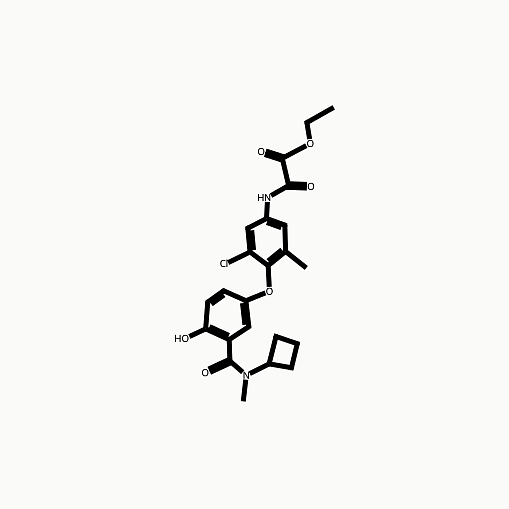 CCOC(=O)C(=O)Nc1cc(C)c(Oc2ccc(O)c(C(=O)N(C)C3CCC3)c2)c(Cl)c1